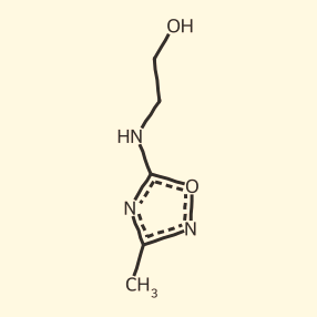 Cc1noc(NCCO)n1